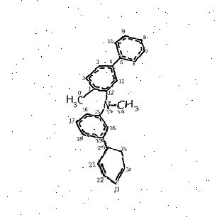 Cc1ccc(-c2ccccc2)cc1N(C)c1cccc(C2C=CC=CC2)c1